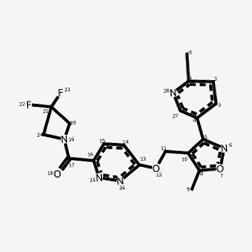 Cc1ccc(-c2noc(C)c2COc2ccc(C(=O)N3CC(F)(F)C3)nn2)cn1